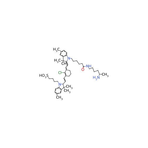 Cc1ccc2c(c1)C(C)(C)/C(=C\C=C1/CCCC(/C=C/C3N(CCCCS(=O)(=O)O)c4ccc(C)cc4C3(C)C)=C1Cl)N2CCCCCC(=O)NCCCCC(C)N